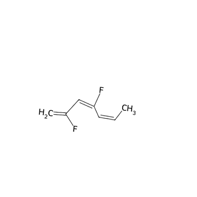 C=C(F)/C=C(F)\C=C/C